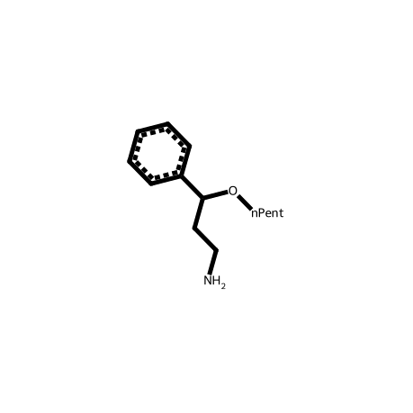 CCCCCOC(CCN)c1ccccc1